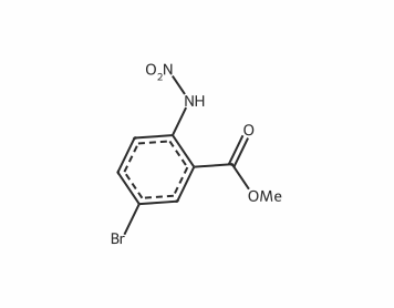 COC(=O)c1cc(Br)ccc1N[N+](=O)[O-]